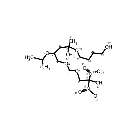 CC(C)OC(COCOCC(C)([N+](=O)[O-])[N+](=O)[O-])CC(C)(C)OCCCCO